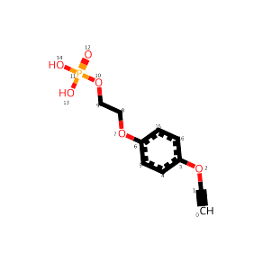 C#COc1ccc(OCCOP(=O)(O)O)cc1